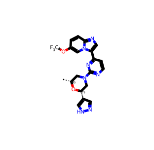 C[C@@H]1CN(c2nccc(-c3cnc4ccc(OC(F)(F)F)cn34)n2)C[C@H](c2cn[nH]c2)O1